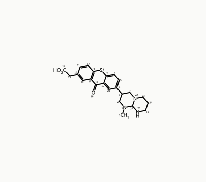 CN1CC(c2ccc3sc4ccc(CC(=O)O)cc4c(=O)c3c2)CN2CCCNC12